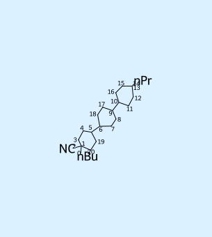 CCCCC1(C#N)CCC(C2CCC(C3CCC(CCC)CC3)CC2)CC1